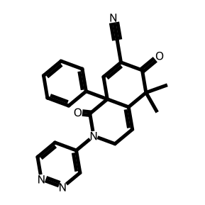 CC1(C)C(=O)C(C#N)=CC2(c3ccccc3)C(=O)N(c3ccnnc3)CC=C12